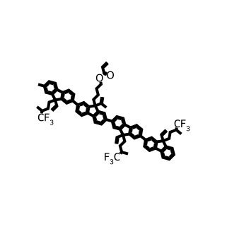 C=CC(=O)OCCCCC1(C(=C)C)c2cc(-c3ccc4c(c3)C(C=C)(CCC(C)C(F)(F)F)c3cc(C)ccc3-4)ccc2-c2ccc(-c3ccc4c(c3)C(C=C)(CCC(C)C(F)(F)F)c3cc(-c5ccc6c(c5)C(C=C)(CCC(C)C(F)(F)F)c5ccccc5-6)ccc3-4)cc21